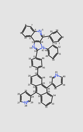 c1ccc(-c2nc3ccccc3c3nc(-c4ccc(-c5ccc6c(-c7cccnc7)c7ccccc7c(-c7cccnc7)c6c5)cc4)n(-c4ccccc4)c23)cc1